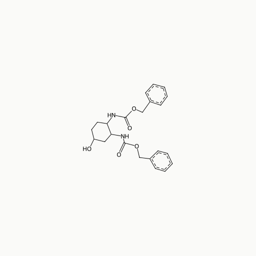 O=C(NC1CCC(O)CC1NC(=O)OCc1ccccc1)OCc1ccccc1